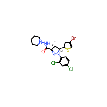 C[C@H]1C(C(=O)NN2CCCCC2)=NN(c2ccc(Cl)cc2Cl)[C@@H]1C1CC(Br)=CS1